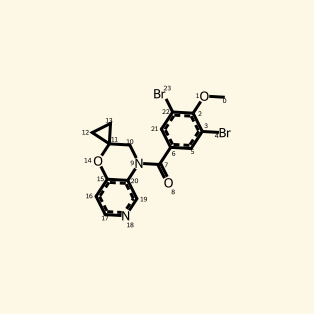 COc1c(Br)cc(C(=O)N2CC3(CC3)Oc3ccncc32)cc1Br